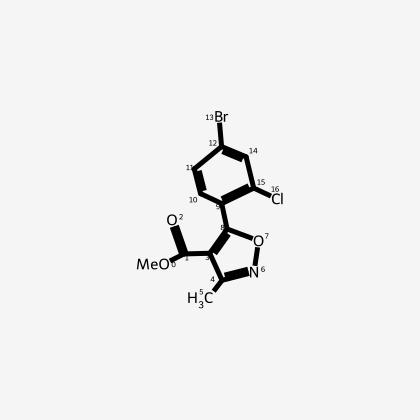 COC(=O)c1c(C)noc1-c1ccc(Br)cc1Cl